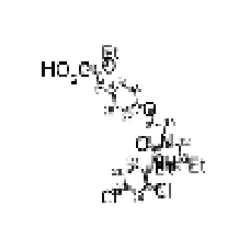 CCOC(Cc1ccc(OCCN(CC(CC)CC)C(=O)Nc2ccc(Cl)cc2Cl)cc1)C(=O)O